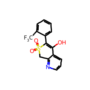 O=S1(=O)Cc2ncccc2C(O)=C1c1ccccc1C(F)(F)F